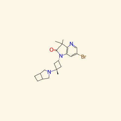 CC1(C)C(=O)N([C@H]2C[C@@](C)(N3CC4CCC4C3)C2)c2cc(Br)cnc21